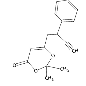 C#CC(CC1=CC(=O)OC(C)(C)O1)c1ccccc1